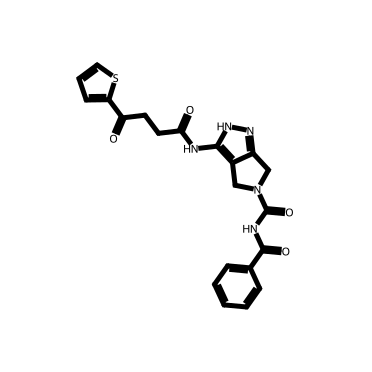 O=C(CCC(=O)c1cccs1)Nc1[nH]nc2c1CN(C(=O)NC(=O)c1ccccc1)C2